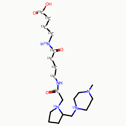 CN1CC[15N](CC2CCC[15N]2C[13C](=O)N[13CH2][13CH2][13CH2][13C](=O)[15NH][13CH2][13CH2][13CH2][13C](=O)O)CC1